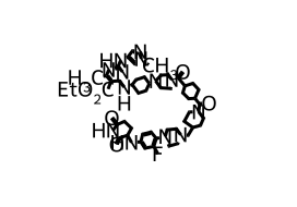 CCOC(=O)c1c(C)nc(Nc2cnn(C)c2)nc1NC1CCC(N2CCN(C(=O)C3CCC(C(=O)N4CCC(CN5CCN(c6ccc(NC7CCC(=O)NC7=O)cc6F)CC5)CC4)CC3)CC2)CC1